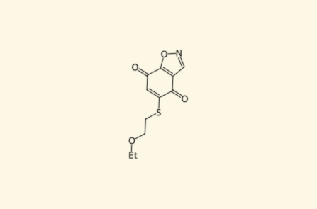 CCOCCSC1=CC(=O)c2oncc2C1=O